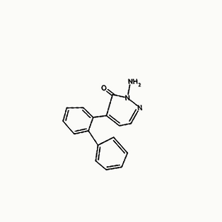 Nn1nccc(-c2ccccc2-c2ccccc2)c1=O